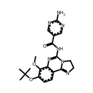 COc1c(OC(C)(C)C)ccc2c1N=C(NC(=O)c1cnc(N)nc1)N1CCN=C21